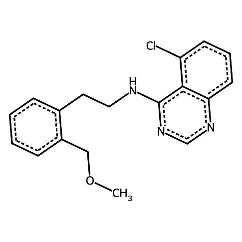 COCc1ccccc1CCNc1ncnc2cccc(Cl)c12